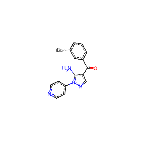 CCC(C)c1cccc(C(=O)c2cnn(-c3ccncc3)c2N)c1